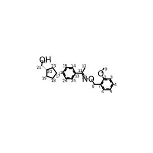 COc1ccccc1CO/N=C(\C)c1ccc([C@@H]2CC[C@H](CO)C2)cc1